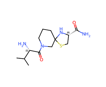 CC(C)[C@H](N)C(=O)N1CCCC2(C1)N[C@H](C(N)=O)CS2